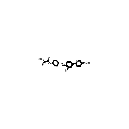 CCCCCCCCCCc1ccc(-c2ccc(OC[C@H]3CC[C@H](OC(=O)[C@@H](F)CCCC)CC3)c(Br)c2)nc1